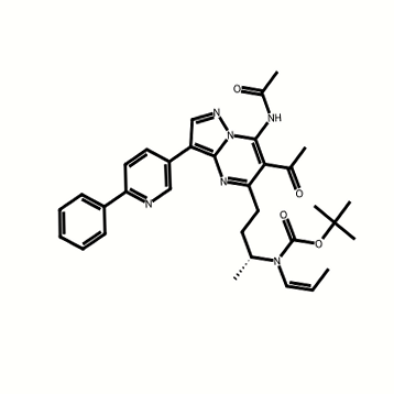 C/C=C\N(C(=O)OC(C)(C)C)[C@H](C)CCc1nc2c(-c3ccc(-c4ccccc4)nc3)cnn2c(NC(C)=O)c1C(C)=O